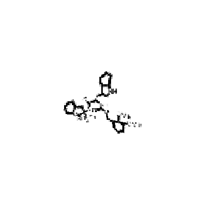 COc1cccc(COC(=O)N[C@@H](Cc2c[nH]c3ccccc23)C(=O)NC(C)(Cc2ccccc2)C(N)=O)c1OC